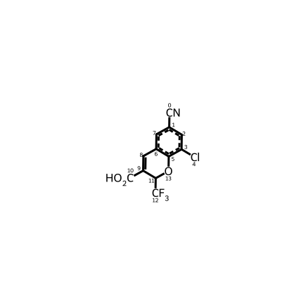 N#Cc1cc(Cl)c2c(c1)C=C(C(=O)O)C(C(F)(F)F)O2